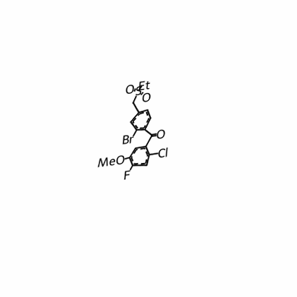 CCS(=O)(=O)Cc1ccc(C(=O)c2cc(OC)c(F)cc2Cl)c(Br)c1